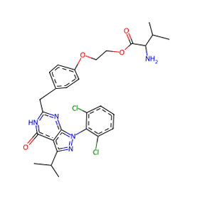 CC(C)c1nn(-c2c(Cl)cccc2Cl)c2nc(Cc3ccc(OCCOC(=O)C(N)C(C)C)cc3)[nH]c(=O)c12